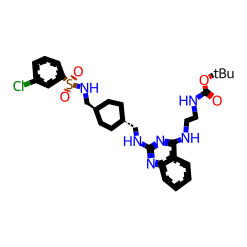 CC(C)(C)OC(=O)NCCNc1nc(NC[C@H]2CC[C@H](CNS(=O)(=O)c3cccc(Cl)c3)CC2)nc2ccccc12